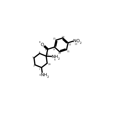 NC1CCCC(N)(C(=O)c2ccc([N+](=O)[O-])cc2)C1